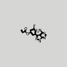 C=CC(=O)Oc1cc(F)cc(-c2nn(C)c3ncnc(N)c23)c1